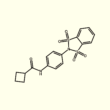 O=C(Nc1ccc(N2S(=O)(=O)c3ccccc3S2(=O)=O)cc1)C1CCC1